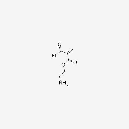 C=C(C(=O)CC)C(=O)OCCN